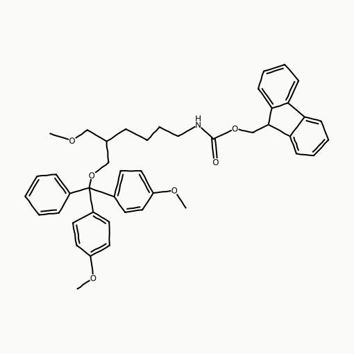 COCC(CCCCNC(=O)OCC1c2ccccc2-c2ccccc21)COC(c1ccccc1)(c1ccc(OC)cc1)c1ccc(OC)cc1